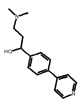 CN(C)CCC(O)c1ccc(-c2ccncc2)cc1